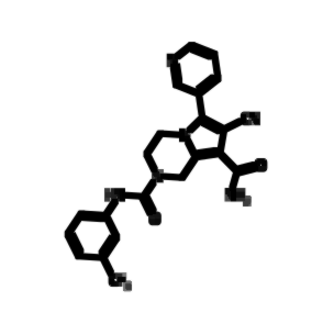 N#Cc1c(C(N)=O)c2n(c1-c1cccnc1)CCN(C(=O)Nc1cccc(C(F)(F)F)c1)C2